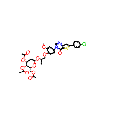 COc1cc(-n2cnc3cc(-c4ccc(Cl)cc4)sc3c2=O)ccc1OCC(C)O[C@@H]1C[C@@H](OC(C)=O)[C@H](OC(C)=O)[C@@H](COC(C)=O)O1